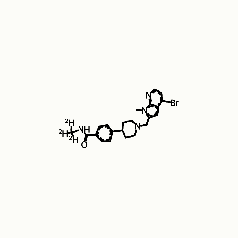 [2H]C([2H])([2H])NC(=O)c1ccc(C2CCN(Cc3cc4c(Br)ccnc4n3C)CC2)cc1